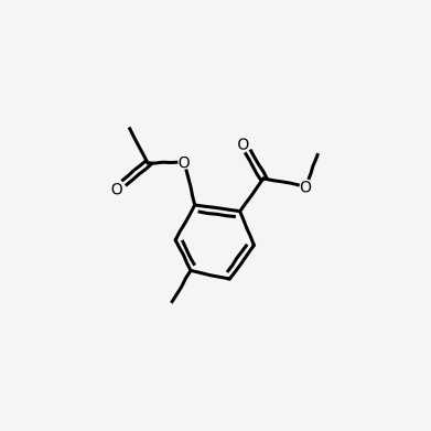 COC(=O)c1ccc(C)cc1OC(C)=O